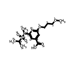 COCCCOc1cc(C(=O)O)cc(N(C)S(=O)(=O)C(C)C)n1